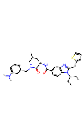 CCC(CC)n1c(Cc2cccs2)nc2cc(C(=O)N[C@@H](CC(C)C)C(=O)NCc3cccc(N(C)C)c3)ccc21